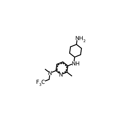 Cc1nc(N(C)CC(F)(F)F)ccc1NC1CCC(N)CC1